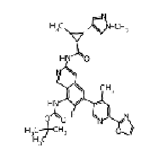 Cc1cc(-c2ncco2)ncc1-c1cc2cc(NC(=O)[C@H]3C(C)[C@@H]3c3cnn(C)c3)ncc2c(NC(=O)OC(C)(C)C)c1F